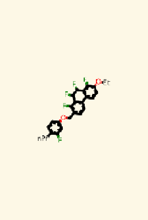 CCCc1ccc(OCc2ccc3c(c2F)C(F)C(F)c2c-3ccc(OCC)c2F)cc1F